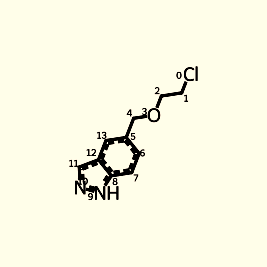 ClCCOCc1ccc2[nH]ncc2c1